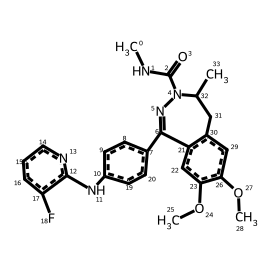 CNC(=O)N1N=C(c2ccc(Nc3ncccc3F)cc2)c2cc(OC)c(OC)cc2CC1C